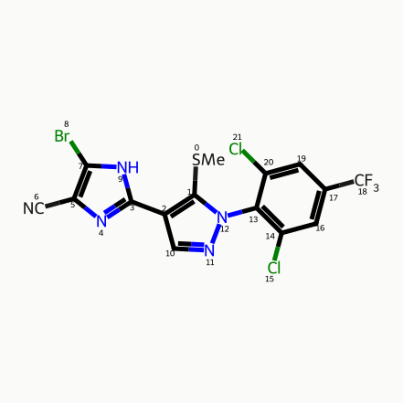 CSc1c(-c2nc(C#N)c(Br)[nH]2)cnn1-c1c(Cl)cc(C(F)(F)F)cc1Cl